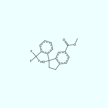 COC(=O)c1ccc2c(c1)C(O)(c1ccccc1C(F)(F)F)CC2